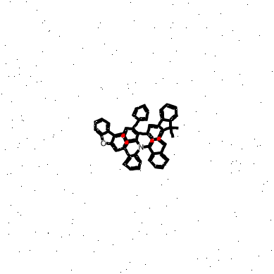 CC1(C)c2ccccc2-c2cc(-c3c(-c4ccccc4)cccc3N(c3ccccc3-c3ccc4c(c3)oc3ccccc34)c3cccc4ccccc34)ccc21